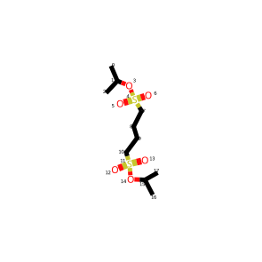 CC(C)OS(=O)(=O)CCCCS(=O)(=O)OC(C)C